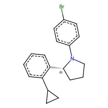 Brc1ccc(N2CCC[C@@H]2c2ccccc2C2CC2)cc1